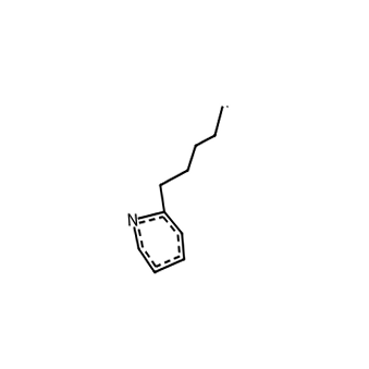 [CH2]CCCCc1ccccn1